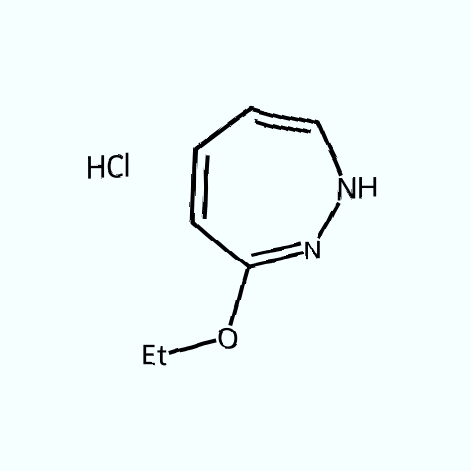 CCOC1=NNC=CC=C1.Cl